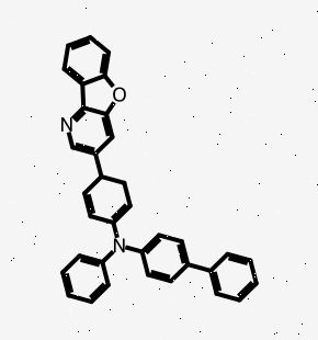 C1=CC(c2cnc3c(c2)oc2ccccc23)CC=C1N(c1ccccc1)c1ccc(-c2ccccc2)cc1